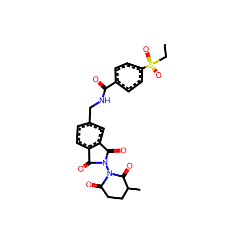 CCS(=O)(=O)c1ccc(C(=O)NCc2ccc3c(c2)C(=O)N(N2C(=O)CCC(C)C2=O)C3=O)cc1